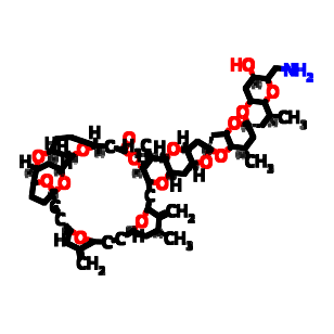 C=C1C[C@@H]2CC[C@]34CCC(O3)[C@H]3C[C@@H](O4)[C@H]4O[C@H](CC[C@@H]4O3)CC(=O)O[C@H]3C(CC4O[C@@H](CCC1O2)C[C@@H](C)C4=C)O[C@H]1C[C@H]2O[C@@]4(CC5O[C@]6(C[C@H](C)C7OC(CN)[C@H](O)CC7O6)C[C@H](C)C5O4)C[C@H]2O[C@H]1[C@@H]3C